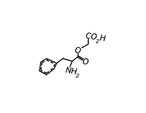 NC(Cc1ccccc1)C(=O)OCC(=O)O